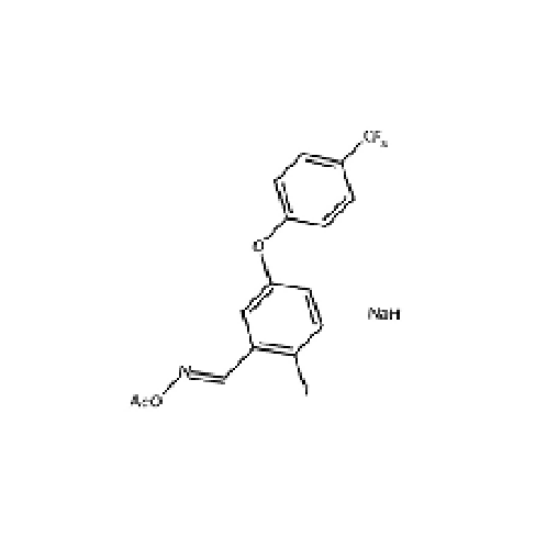 CC(=O)ON=Cc1cc(Oc2ccc(C(F)(F)F)cc2)ccc1I.[NaH]